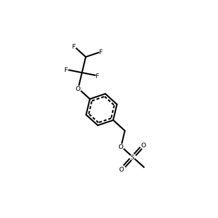 CS(=O)(=O)OCc1ccc(OC(F)(F)C(F)F)cc1